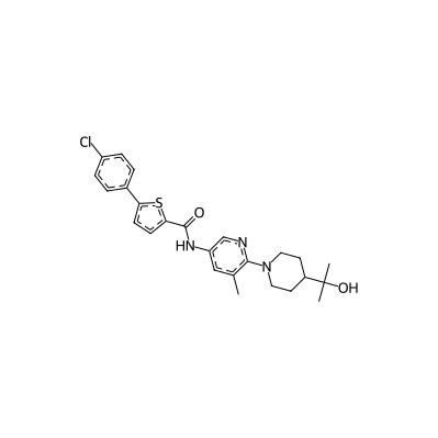 Cc1cc(NC(=O)c2ccc(-c3ccc(Cl)cc3)s2)cnc1N1CCC(C(C)(C)O)CC1